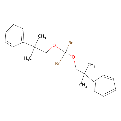 CC(C)(C[O][Zr]([Br])([Br])[O]CC(C)(C)c1ccccc1)c1ccccc1